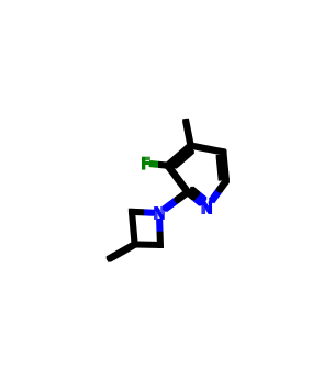 Cc1ccnc(N2CC(C)C2)c1F